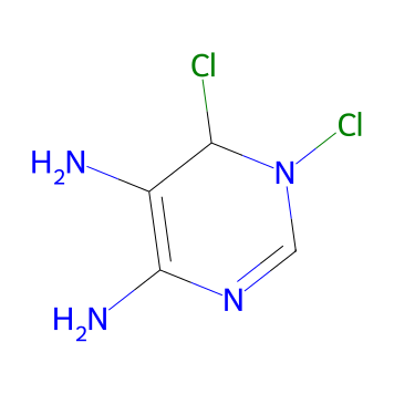 NC1=C(N)C(Cl)N(Cl)C=N1